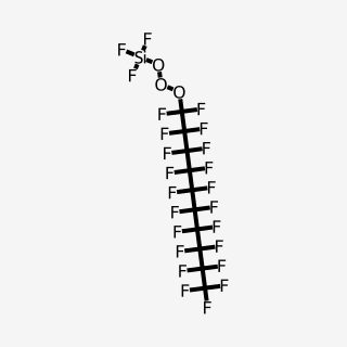 FC(F)(F)C(F)(F)C(F)(F)C(F)(F)C(F)(F)C(F)(F)C(F)(F)C(F)(F)C(F)(F)C(F)(F)OOO[Si](F)(F)F